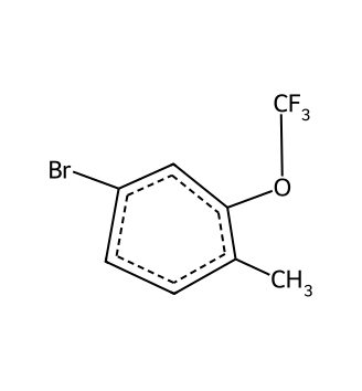 Cc1ccc(Br)cc1OC(F)(F)F